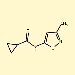 Cc1cc(NC(=O)C2CC2)on1